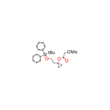 COCC(=O)OC1(CCO[Si](c2ccccc2)(c2ccccc2)C(C)(C)C)CC1